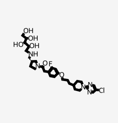 O=C(Cc1ccc(OCCCC2CCN(c3ncc(Cl)cn3)CC2)cc1F)N1CC[C@H](CNCC(O)C(O)C(O)CO)C1